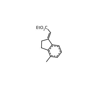 CCOC(=O)C=C1CCc2c(C)cccc21